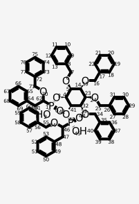 O=P(O)(O[C@@H]1[C@@H](OCc2ccccc2)[C@H](OCc2ccccc2)[C@@H](OCc2ccccc2)[C@H](OCc2ccccc2)[C@@H]1OP(=O)(O)C(Cc1ccccc1)OCc1ccccc1)C(Cc1ccccc1)OCc1ccccc1